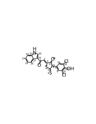 O=C(/C=C1\SC(=S)N(c2cc(Cl)c(O)c(Cl)c2)C1=O)c1c[nH]c2ccccc12